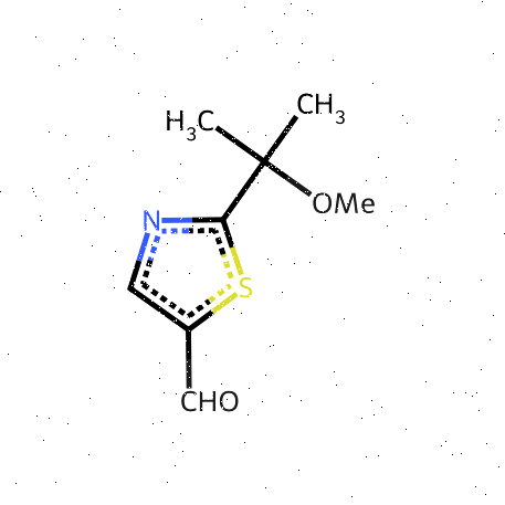 COC(C)(C)c1ncc(C=O)s1